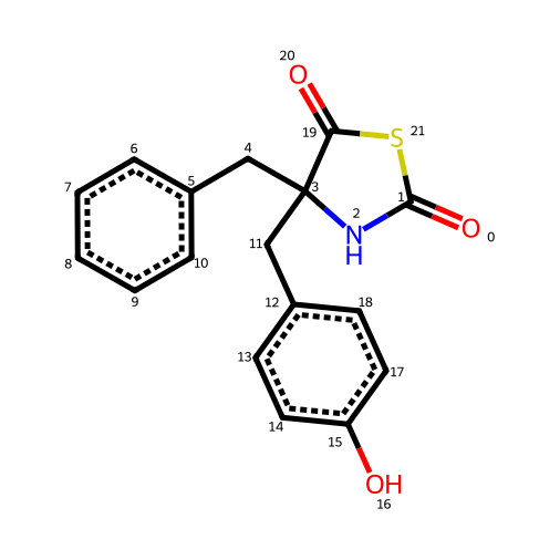 O=C1NC(Cc2ccccc2)(Cc2ccc(O)cc2)C(=O)S1